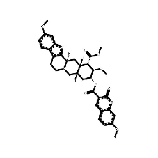 COC(=O)[C@H]1[C@H]2C[C@@H]3c4[nH]c5cc(OC)ccc5c4CCN3C[C@H]2C[C@@H](OC(=O)c2cc3ccc(OC)cc3oc2=O)[C@@H]1OC